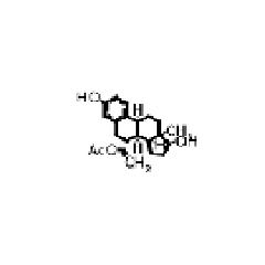 C=COC(C)=O.C[C@]12CC[C@@H]3c4ccc(O)cc4CC[C@H]3[C@@H]1CC[C@@H]2O